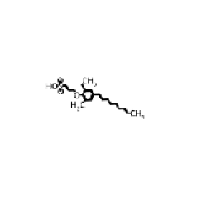 CCCCCCCCCc1cc(C)c(OCCCS(=O)(=O)O)c(CC)c1